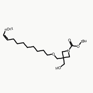 CCCCCCCC/C=C\CCCCCCCCOCC1(CO)CN(C(=O)OC(C)(C)C)C1